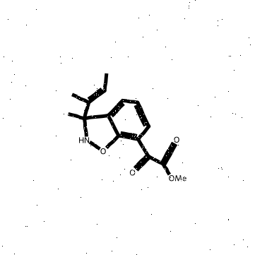 CC=C(C)C1(C)NOc2c(C(=O)C(=O)OC)cccc21